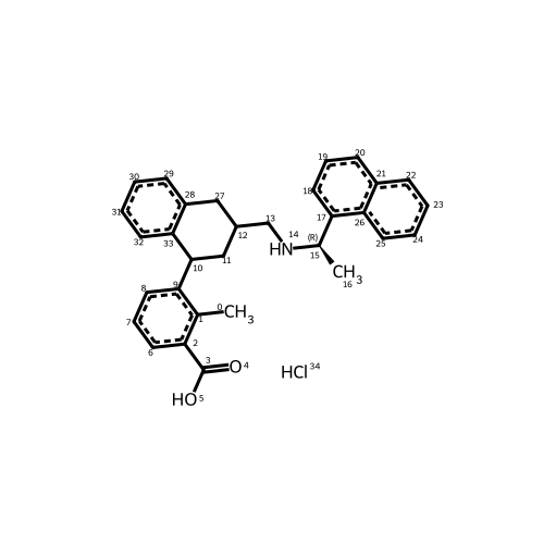 Cc1c(C(=O)O)cccc1C1CC(CN[C@H](C)c2cccc3ccccc23)Cc2ccccc21.Cl